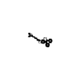 CCN(CC)CCCCCCCOc1ccc(C(=C(Cl)c2ccccc2)c2ccccc2)cc1